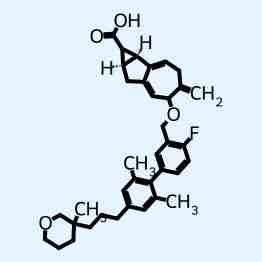 C=C1CC=C2C(=CC1OCc1cc(-c3c(C)cc(CCCC4(C)CCCOC4)cc3C)ccc1F)C[C@H]1C(C(=O)O)[C@@H]21